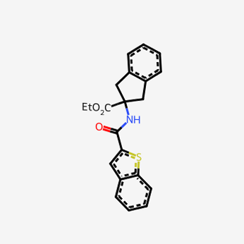 CCOC(=O)C1(NC(=O)c2cc3ccccc3s2)Cc2ccccc2C1